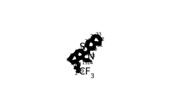 CC(C)(Cc1cccc2cc3c4c(nccc4c12)-c1cc2ccccc2cc1S3)C(F)(F)F